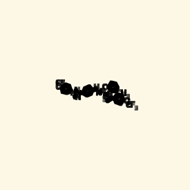 Cc1cccc(C)c1-n1c(-c2ccc(OC(F)(F)F)cc2)cs/c1=N\N=Cc1ccc(-c2ncn(-c3ccc(OC(F)(F)F)cc3)n2)cc1